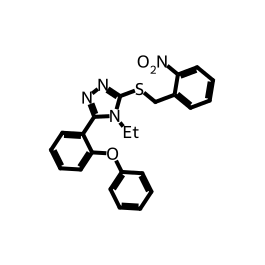 CCn1c(SCc2ccccc2[N+](=O)[O-])nnc1-c1ccccc1Oc1ccccc1